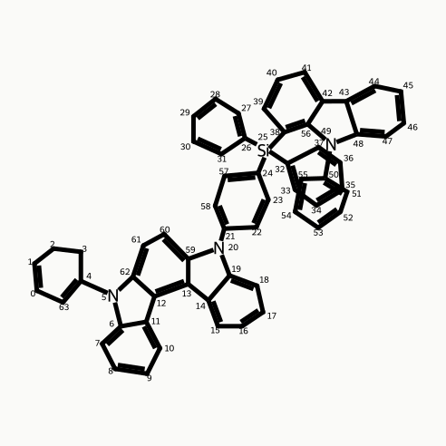 C1=CCCC(n2c3ccccc3c3c4c5ccccc5n(-c5ccc([Si](c6ccccc6)(c6ccccc6)c6cccc7c8ccccc8n(-c8ccccc8)c67)cc5)c4ccc32)=C1